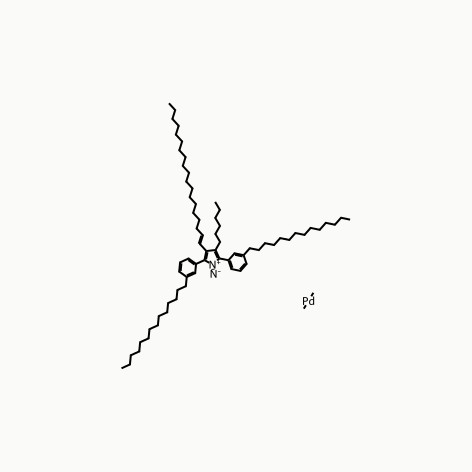 CCCCCCCCCCCCCCCCCC=CC1=C(c2cccc(CCCCCCCCCCCCCC)c2)[N+](=[N-])C(c2cccc(CCCCCCCCCCCCCC)c2)=C1CCCCCC.[CH3][Pd][CH3]